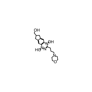 OCC1Cc2cc3c(cc2C1)N(O)C(CCCN1CCOCC1)=NN3O